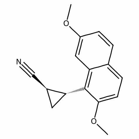 COc1ccc2ccc(OC)c([C@@H]3C[C@H]3C#N)c2c1